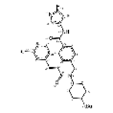 CC(C)(C)C1CCC(N(Cc2ccc(C(=O)Nc3nn[nH]n3)cc2)C(=O)C=Cc2cccc(Cl)c2)CC1